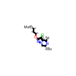 [2H]C1=N[C@H](C(C)(C)C)Cn2nc(OCCCOC)c(Cl)c21